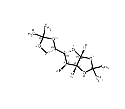 CC1(C)O[C@H]2O[C@@H]([C@@H]3COC(C)(C)O3)[C@H](F)[C@H]2O1